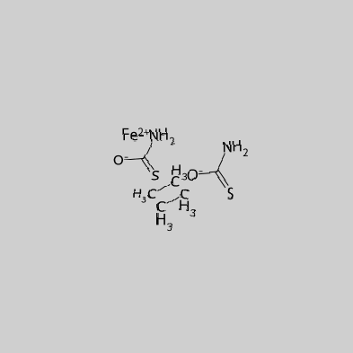 CC.CC.NC([O-])=S.NC([O-])=S.[Fe+2]